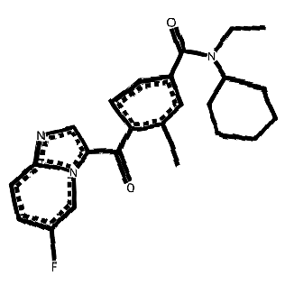 CCN(C(=O)c1ccc(C(=O)c2cnc3ccc(F)cn23)c(C)c1)C1CCCCC1